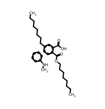 CCCCCCCCOC(=O)c1ccc(CCCCCCCC)cc1C(=O)O.CNc1ccccc1